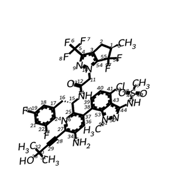 C[C@@H]1Cc2c(C(F)(F)F)nn(CC(=O)N[C@@H](Cc3cc(F)cc(F)c3)c3nc(C#CC(C)(C)O)c(N)cc3-c3ccc(Cl)c4c(NS(C)(=O)=O)nn(C)c34)c2C1(F)F